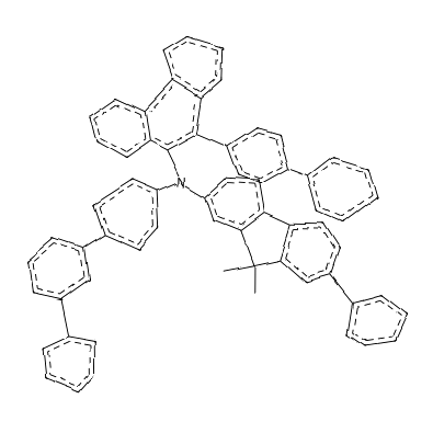 CC1(C)c2cc(-c3ccccc3)ccc2-c2ccc(N(c3ccc(-c4cccc(-c5ccccc5)c4)cc3)c3c(-c4ccc(-c5ccccc5)cc4)c4ccccc4c4ccccc34)cc21